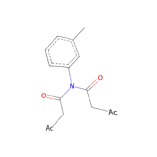 CC(=O)CC(=O)N(C(=O)CC(C)=O)c1cccc(C)c1